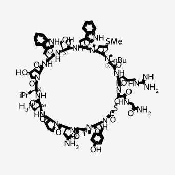 CCCC[C@H]1C(=O)N[C@@H](CCCNC(=N)N)C(=O)NC(C(=O)NCC(N)=O)CSCC(=O)N[C@@H](Cc2ccc(O)cc2)C(=O)N(C)[C@@H](C)C(=O)N[C@@H](CC(N)=O)C(=O)N2CCC[C@H]2C(=O)N[C@@H](CN)C(=O)N[C@@H](CC(C)C)C(=O)N2C[C@H](O)CC2C(=O)N[C@@H](Cc2c[nH]c3ccccc23)C(=O)N[C@@H](CO)C(=O)N[C@@H](Cc2c[nH]c3ccccc23)C(=O)N(C)[C@@H](CCSC)C(=O)N1C